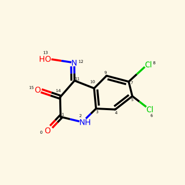 O=C1Nc2cc(Cl)c(Cl)cc2/C(=N/O)C1=O